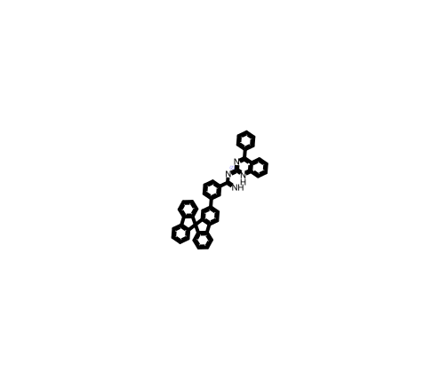 N=C(/N=c1/nc(-c2ccccc2)c2ccccc2[nH]1)c1cccc(-c2ccc3c(c2)C2(c4ccccc4-c4ccccc42)c2ccccc2-3)c1